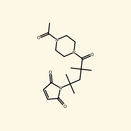 CC(=O)N1CCN(C(=O)C(C)(C)CC(C)(C)N2C(=O)C=CC2=O)CC1